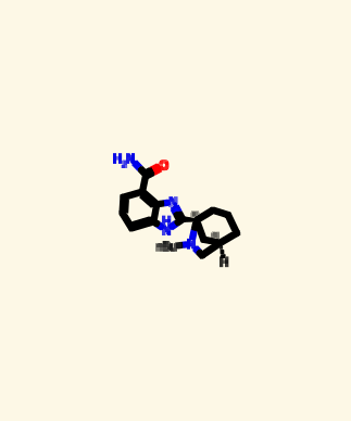 CCCCN1C[C@@H]2CCC[C@]1(c1nc3c(C(N)=O)cccc3[nH]1)C2